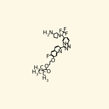 CC(C)(C)C(=O)OCCOc1cc2nc(-c3nnc4ccc([C@@H](N5CC[C@H](N)C5)C(F)(F)F)cn34)ccc2cc1F